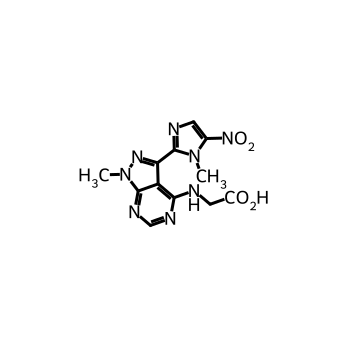 Cn1c([N+](=O)[O-])cnc1-c1nn(C)c2ncnc(NCC(=O)O)c12